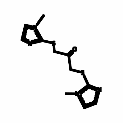 Cn1ccnc1SCC(=O)CSc1nccn1C